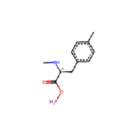 CN[C@@H](Cc1ccc(C)cc1)C(=O)OP